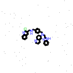 Clc1nc2ccccc2cc1CNCc1ccc(CN(Cc2nc3ccccc3[nH]2)C2C=C3C=CC=NC3CC2)cc1